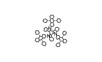 c1ccc(-c2c3ccccc3c(-c3ccccc3)c3cc(-n4c5ccccc5c5c4c4c6ccccc6n(-c6ccc7c(-c8ccccc8)c8ccccc8c(-c8ccccc8)c7c6)c4c4c6ccccc6n(-c6ccc7c(-c8ccccc8)c8ccccc8c(-c8ccccc8)c7c6)c54)ccc23)cc1